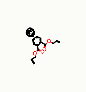 C=CCOC(=O)c1ccccc1C(=O)OCC=C.[CH]12[CH]3[CH]4[CH]5[CH]1[Fe]23451678[CH]2[CH]1[CH]6[CH]7[CH]28